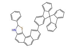 c1ccc(C2Nc3ccc4ccc5ccc(-c6ccc7c(c6)C6(c8ccccc8-c8ccccc86)c6ccccc6-7)cc5c4c3S2)cc1